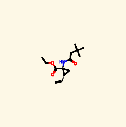 C=C[C@H]1C[C@@]1(NC(=O)CC(C)(C)C)C(=O)OCC